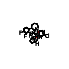 Fc1ccc(C2CCCCn3nc(NC4[C@@H]5CC[C@H]4CN(c4cc(Cl)ncn4)C5)nc32)c(F)c1F